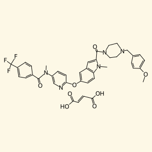 COc1ccc(CN2CCN(C(=O)c3cc4cc(Oc5ccc(N(C)C(=O)c6ccc(C(F)(F)F)cc6)cn5)ccc4n3C)CC2)cc1.O=C(O)C=CC(=O)O